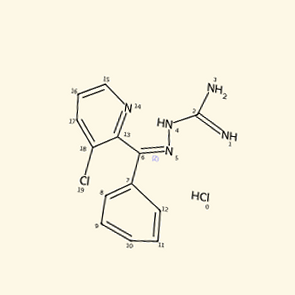 Cl.N=C(N)N/N=C(/c1ccccc1)c1ncccc1Cl